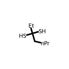 CCCCC(S)(S)CC